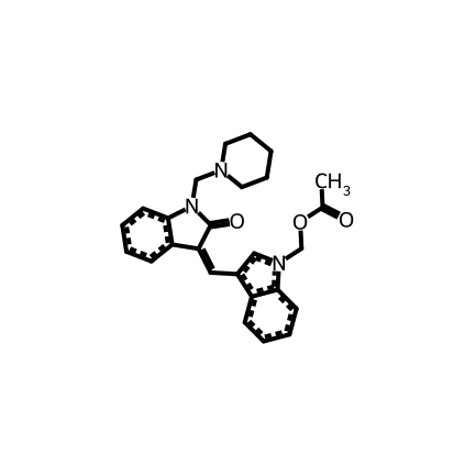 CC(=O)OCn1cc(C=C2C(=O)N(CN3CCCCC3)c3ccccc32)c2ccccc21